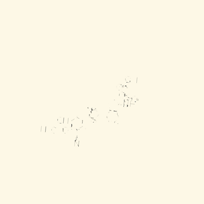 CC(C)Oc1ccc(-c2ncc(-c3cccc4c3CCC4NS(=O)(=O)CC(=O)O)s2)cc1C#N